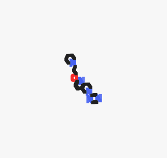 c1cnc(N2CCc3nc(OCCCN4CCCCC4)ccc3C2)cn1